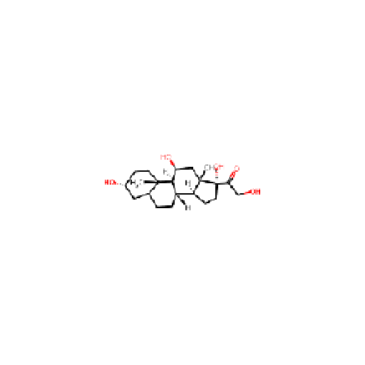 C[C@]12CC[C@@H](O)CC1CC[C@@H]1[C@@H]2[C@@H](O)C[C@@]2(C)[C@H]1CC[C@]2(O)C(=O)CO